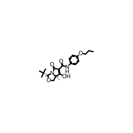 CCCOc1ccc(NC(=O)C2=C(O)[C@@]3(C)CO[C@H](C(C)(C)C)N3C2=O)cc1